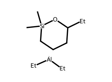 CCC1CCC[Si](C)(C)O1.C[CH2][Al][CH2]C